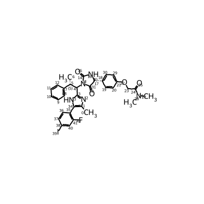 Cc1nc(C([C@@H](C)c2ccccc2)N2C(=O)N[C@H](c3ccc(OCC(=O)N(C)C)cc3)C2=O)[nH]c1-c1ccc(I)cc1F